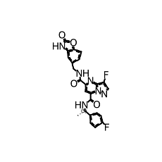 C[C@H](NC(=O)c1cc(C(=O)NCc2ccc3oc(=O)[nH]c3c2)nc2c(F)cnn12)c1ccc(F)cc1